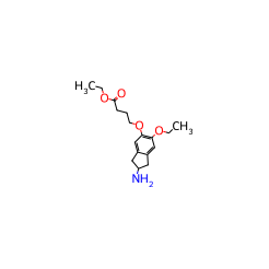 CCOC(=O)CCCOc1cc2c(cc1OCC)CC(N)C2